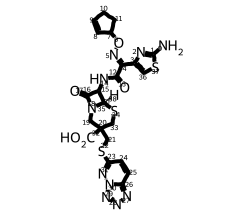 Nc1nc(C(=NOC2C=CCC2)C(=O)NC2C(=O)N3CC(CSc4ccc5nnnn5n4)(C(=O)O)CS[C@H]23)cs1